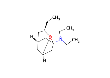 CCN(CC)[C@]12C[C@@H]3C[C@@H](C[C@](CC)(C3)O1)C2